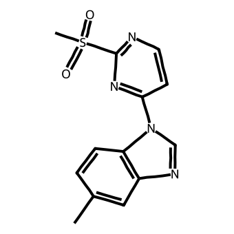 Cc1ccc2c(c1)ncn2-c1ccnc(S(C)(=O)=O)n1